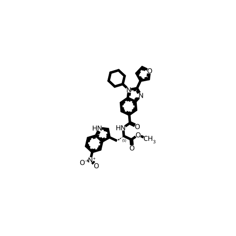 COC(=O)[C@H](Cc1c[nH]c2ccc([N+](=O)[O-])cc12)NC(=O)c1ccc2c(c1)nc(-c1ccoc1)n2C1CCCCC1